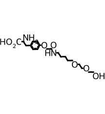 NC(Cc1ccc(OCC(=O)NCCCCCOCCOCCO)cc1)C(=O)O